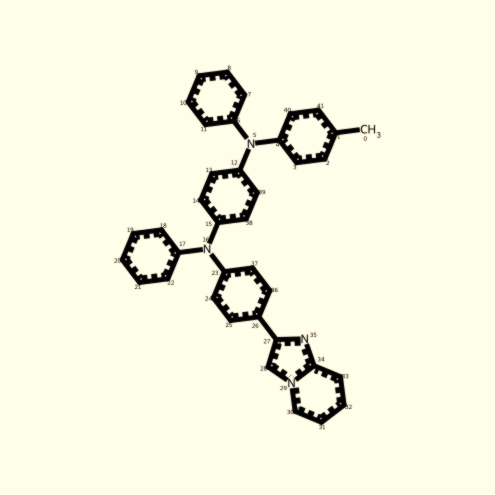 Cc1ccc(N(c2ccccc2)c2ccc(N(c3ccccc3)c3ccc(-c4cn5ccccc5n4)cc3)cc2)cc1